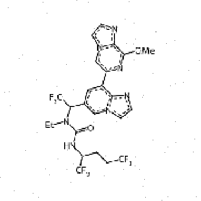 CCN(C(=O)N[C@@H](CCC(F)(F)F)C(F)(F)F)C(c1cc(-c2cn3ccnc3c(OC)n2)c2nccn2c1)C(F)(F)F